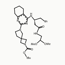 COC(CNC(=O)C[C@H](CC(C)C)Nc1nc(N2CCC3(CN(C(=O)OC(C)(C)C)C3)C2)nc2c1CCCC2)OC